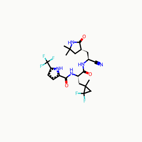 CC1(C)C[C@@H](C[C@@H](C#N)NC(=O)[C@H](CC2(C)CC2(F)F)NC(=O)c2ccc(C(F)(F)F)[nH]2)C(=O)N1